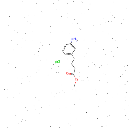 COC(=O)CCCc1cccc(N)c1.Cl